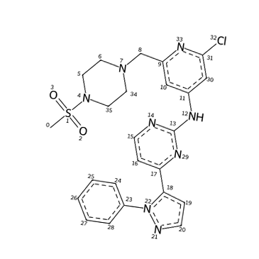 CS(=O)(=O)N1CCN(Cc2cc(Nc3nccc(-c4ccnn4-c4ccccc4)n3)cc(Cl)n2)CC1